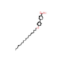 CCCCCCCC/C=C/CCCCCCCCOc1ccc(-c2ccc(C(=O)O)cc2)cc1